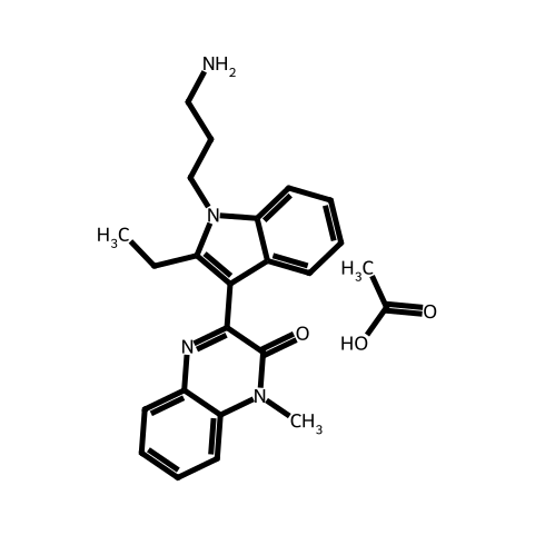 CC(=O)O.CCc1c(-c2nc3ccccc3n(C)c2=O)c2ccccc2n1CCCN